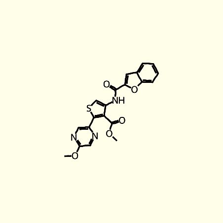 COC(=O)c1c(NC(=O)c2cc3ccccc3o2)csc1-c1cnc(OC)cn1